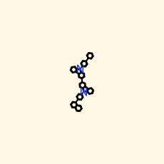 c1ccc(-c2ccc(-n3c4ccccc4c4cc(-c5ccc6c(c5)c5ccccc5n6-c5ccc(-c6cccc7ccccc67)cc5)ccc43)cc2)cc1